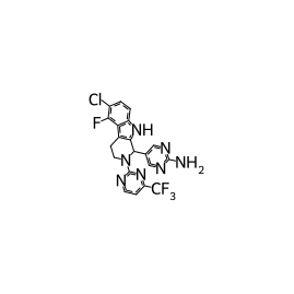 Nc1ncc(C2c3[nH]c4ccc(Cl)c(F)c4c3CCN2c2nccc(C(F)(F)F)n2)cn1